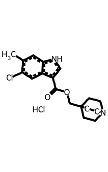 Cc1cc2[nH]cc(C(=O)OCC34CCN(CC3)CC4)c2cc1Cl.Cl